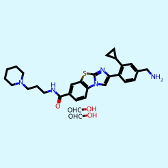 NCc1ccc(-c2cn3c(n2)sc2cc(C(=O)NCCCN4CCCCC4)ccc23)c(C2CC2)c1.O=CO.O=CO